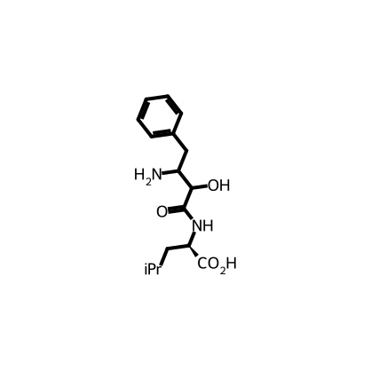 CC(C)C[C@@H](NC(=O)C(O)C(N)Cc1ccccc1)C(=O)O